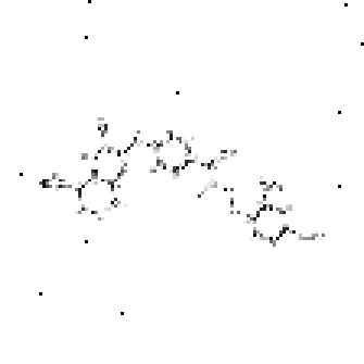 COc1ccc(CCN(Cl)C(=O)c2ccc(Oc3cc4c(cc3Cl)C(C(=O)O)CCO4)cc2)c(OC)c1